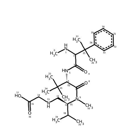 CNC(C(=O)N[C@H](C(=O)N(C)[C@H](CNCC(=O)O)C(C)C)C(C)(C)C)C(C)(C)c1ccccc1